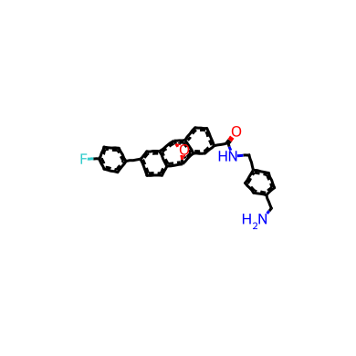 NCc1ccc(CNC(=O)c2ccc3c(c2)c2oc3c3cc(-c4ccc(F)cc4)ccc32)cc1